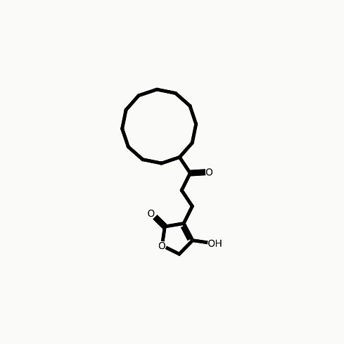 O=C1OCC(O)=C1CCC(=O)C1CCCCCCCCCCC1